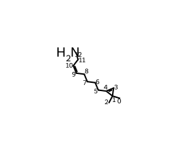 CC1(C)C=C1CCCC/C=C\CN